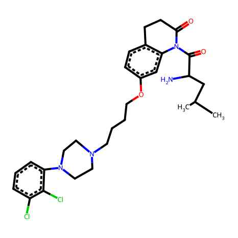 CC(C)CC(N)C(=O)N1C(=O)CCc2ccc(OCCCCN3CCN(c4cccc(Cl)c4Cl)CC3)cc21